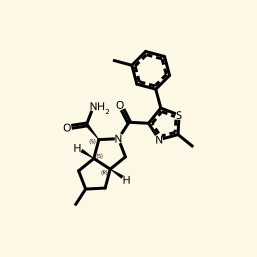 Cc1cccc(-c2sc(C)nc2C(=O)N2C[C@@H]3CC(C)C[C@@H]3[C@H]2C(N)=O)c1